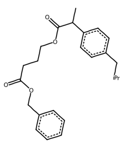 CC(C)Cc1ccc(C(C)C(=O)OCCCC(=O)OCc2ccccc2)cc1